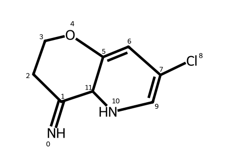 N=C1CCOC2=CC(Cl)=CNC12